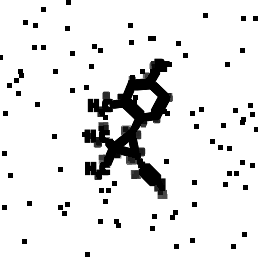 Cc1cc(Br)ccc1[C@H]1[C@H](C#N)C1(C)C